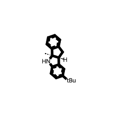 CC(C)(C)c1ccc2c(c1)[C@@H]1Cc3ccccc3[C@]1(C)N2